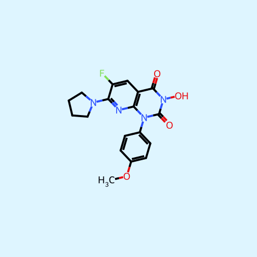 COc1ccc(-n2c(=O)n(O)c(=O)c3cc(F)c(N4CCCC4)nc32)cc1